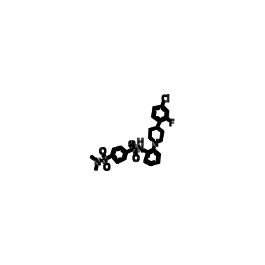 CN(C)S(=O)(=O)c1ccc(S(=O)(=O)Nc2ccccc2N2CCC(c3ccc(Cl)cc3F)CC2)cc1